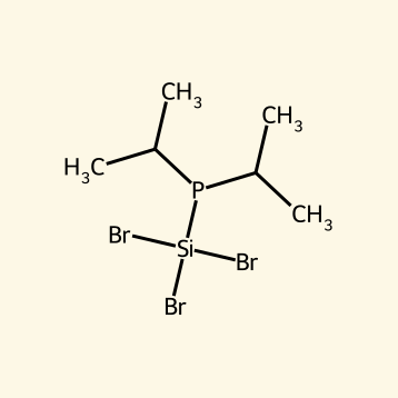 CC(C)P(C(C)C)[Si](Br)(Br)Br